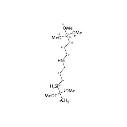 COC(C)(OC)[SiH2]CCCNCCC[Si](OC)(OC)OC